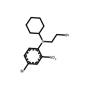 CC(C)CCN(c1ccc(Br)cc1[N+](=O)[O-])C1CCCCC1